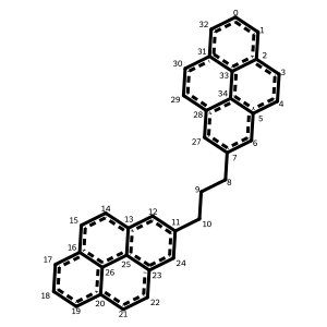 c1cc2ccc3cc(CCCc4cc5ccc6cccc7ccc(c4)c5c67)cc4ccc(c1)c2c34